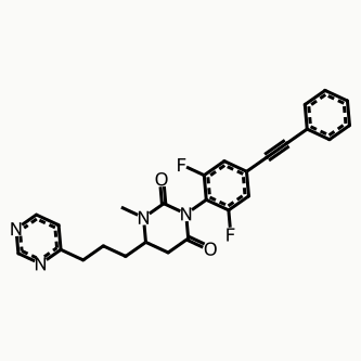 CN1C(=O)N(c2c(F)cc(C#Cc3ccccc3)cc2F)C(=O)CC1CCCc1ccncn1